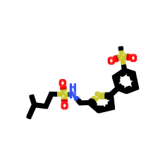 CC(C)CCS(=O)(=O)NCc1ccc(-c2cccc(S(C)(=O)=O)c2)s1